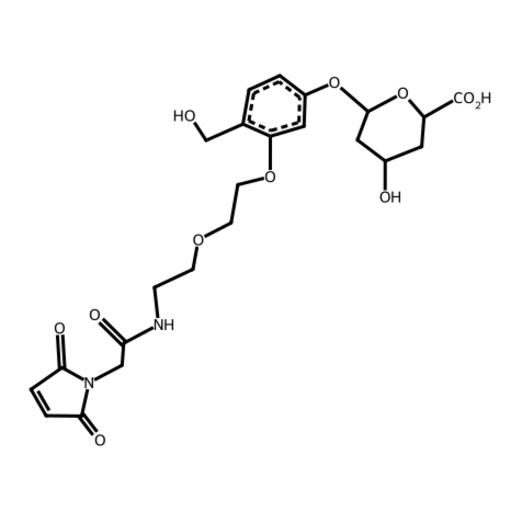 O=C(CN1C(=O)C=CC1=O)NCCOCCOc1cc(OC2CC(O)CC(C(=O)O)O2)ccc1CO